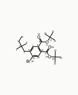 CCC(C)(C)Cc1cc(C(=O)OC(C)(C)C)c(C(=O)OC(C)(C)C)cc1Br